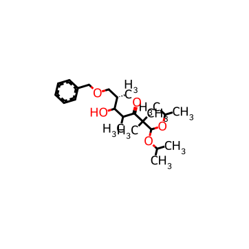 CC(C)OC(OC(C)C)C(C)(C)C(=O)C(C)C(O)[C@@H](C)COCc1ccccc1